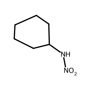 O=[N+]([O-])NC1CCCCC1